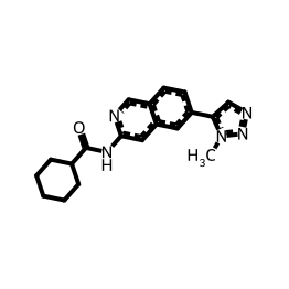 Cn1nncc1-c1ccc2cnc(NC(=O)C3CCCCC3)cc2c1